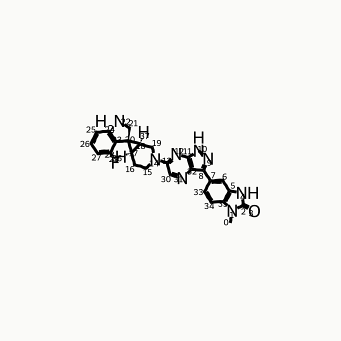 Cn1c(=O)[nH]c2cc(-c3n[nH]c4nc(N5CC[C@@H]6[C@H](C5)[C@@]6(CN)c5ccccc5F)cnc34)ccc21